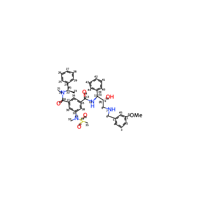 COc1cccc(CNC[C@@H](O)[C@@H](NC(=O)c2cc(C(=O)N(C)[C@H](C)c3ccccc3)cc(N(C)S(C)(=O)=O)c2)c2ccccc2)c1